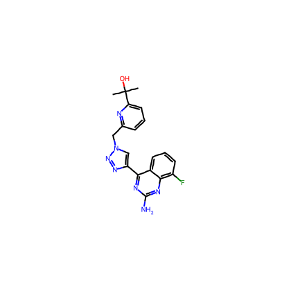 CC(C)(O)c1cccc(Cn2cc(-c3nc(N)nc4c(F)cccc34)nn2)n1